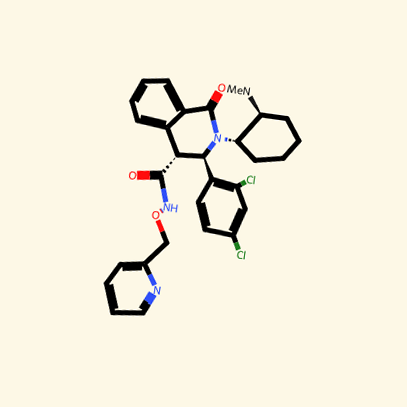 CN[C@H]1CCCC[C@@H]1N1C(=O)c2ccccc2[C@@H](C(=O)NOCc2ccccn2)[C@@H]1c1ccc(Cl)cc1Cl